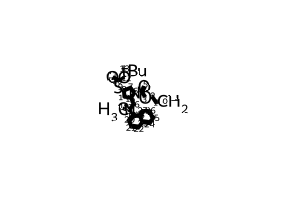 C=CCOC(=O)N1CC(SC(=O)OC(C)(C)C)CC1CN(C)c1cccc2ccccc12